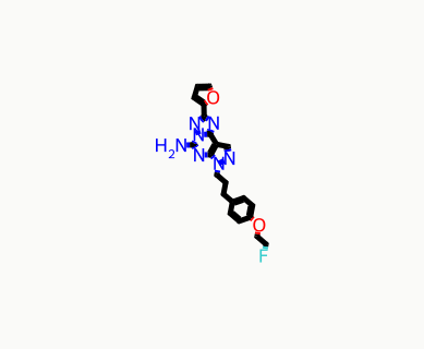 Nc1nc2c(cnn2CCCc2ccc(OCCF)cc2)c2nc(-c3ccco3)nn12